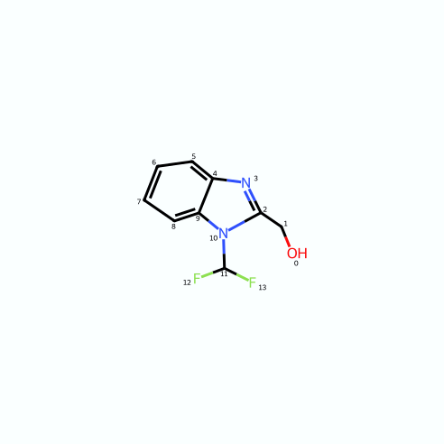 OCc1nc2ccccc2n1C(F)F